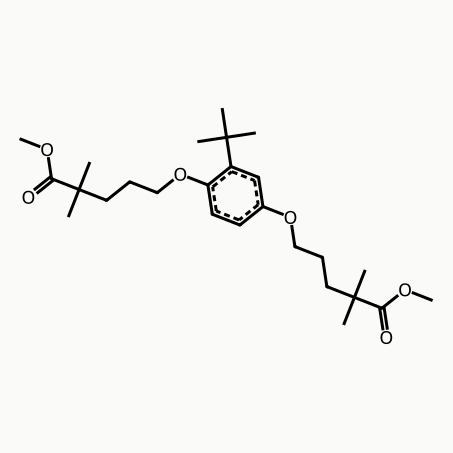 COC(=O)C(C)(C)CCCOc1ccc(OCCCC(C)(C)C(=O)OC)c(C(C)(C)C)c1